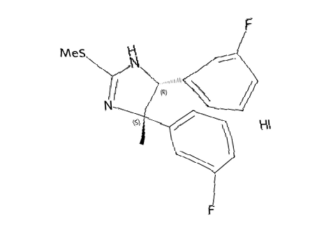 CSC1=N[C@@](C)(c2cccc(F)c2)[C@@H](c2cccc(F)c2)N1.I